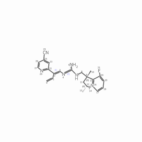 C=C/C(=C\N=C(/N)NC[C@@](C)(C[C@@H](C)F)c1ncccc1F)c1cc(C#N)ccn1